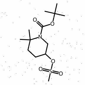 CC(C)(C)OC(=O)N1CC(OS(C)(=O)=O)CCC1(C)C